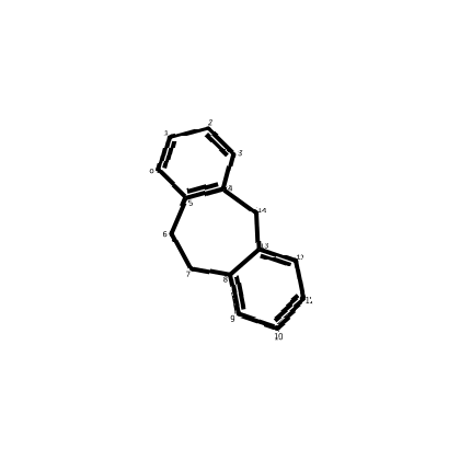 [c]1cccc2c1CCc1ccccc1C2